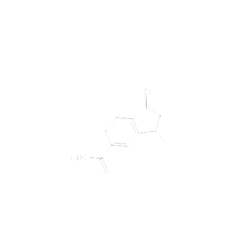 C=C(C=O)c1ccc2c(c1)C(C)CC2CC